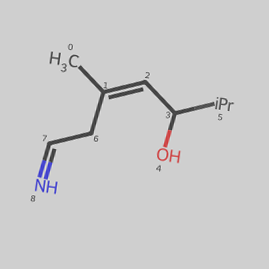 C/C(=C/C(O)C(C)C)CC=N